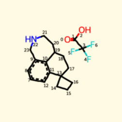 O=C(O)C(F)(F)F.c1cc2c3c(c1)C1(CCC1)CCC3CCNC2